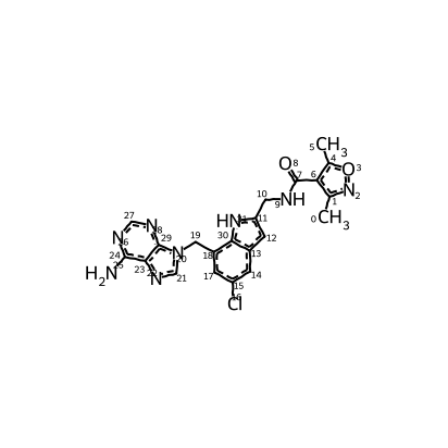 Cc1noc(C)c1C(=O)NCc1cc2cc(Cl)cc(Cn3cnc4c(N)ncnc43)c2[nH]1